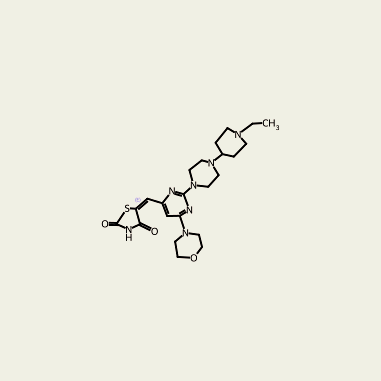 CCN1CCC(N2CCN(c3nc(/C=C4/SC(=O)NC4=O)cc(N4CCOCC4)n3)CC2)CC1